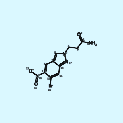 NC(=O)CCn1cc2cc([N+](=O)[O-])c(Br)cc2n1